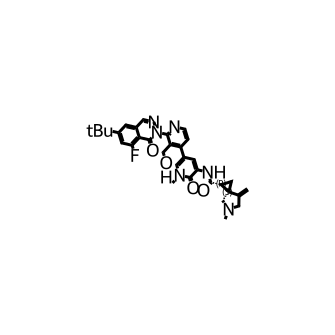 C=C1CN(C)C[C@]12C[C@H]2C(=O)Nc1cc(-c2ccnc(-n3ncc4cc(C(C)(C)C)cc(F)c4c3=O)c2CO)cn(C)c1=O